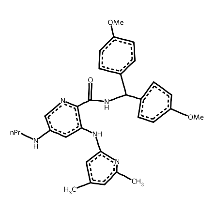 [CH2]CCNc1cnc(C(=O)NC(c2ccc(OC)cc2)c2ccc(OC)cc2)c(Nc2cc(C)cc(C)n2)c1